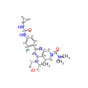 CC1COCCN1c1nc(-c2ccc(NC(=O)NC3CC3)cc2F)nc2c1CCN(C(=O)N(C)C)C2